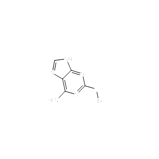 CCSc1nc(N)c2nc[nH]c2n1